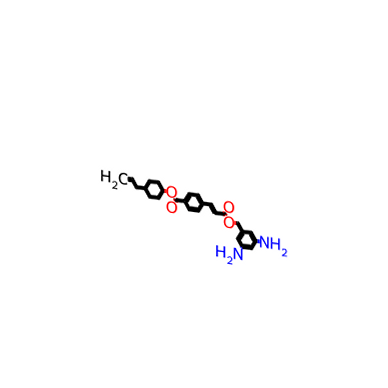 C=CCC1CCC(OC(=O)c2ccc(/C=C/C(=O)OCc3cc(N)cc(N)c3)cc2)CC1